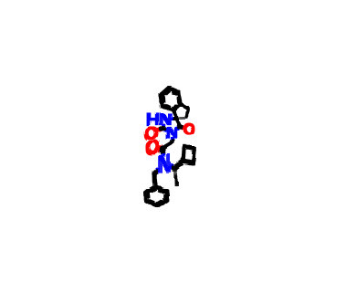 C[C@H](C1CCC1)N(Cc1ccccc1)C(=O)CN1C(=O)N[C@]2(CCc3ccccc32)C1=O